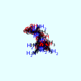 C[C@H](NC(=O)[C@H](CC(=O)O)NC(=O)[C@H](C)NC(=O)[C@H](CCCCN)NC(=O)[C@H](C)NC(=O)[C@H](CC(=O)O)NC(=O)[C@H](C)NC(=O)[C@H](CCCCN)NC(=O)[C@H](C)NC(=O)[C@H](CC(=O)O)NC(=O)[C@H](C)NC(=O)[C@H](CCCCN)NC(=O)[C@H](C)NC(=O)[C@H](CC(=O)O)NC(=O)[C@H](C)NC(=O)[C@@H](N)CCCCN)C(=O)O